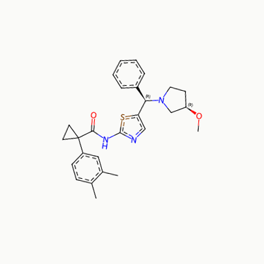 CO[C@@H]1CCN([C@H](c2ccccc2)c2cnc(NC(=O)C3(c4ccc(C)c(C)c4)CC3)s2)C1